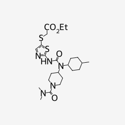 CCOC(=O)CSc1cnc(NC(=O)N(C2CCC(C)CC2)C2CCN(C(=O)N(C)C)CC2)s1